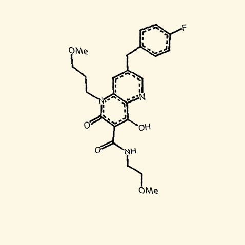 COCCCn1c(=O)c(C(=O)NCCOC)c(O)c2ncc(Cc3ccc(F)cc3)cc21